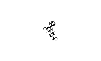 CC(=O)N1CCN(c2nc(-c3ccncn3)cc(=O)n2C)[C@H](C)C1